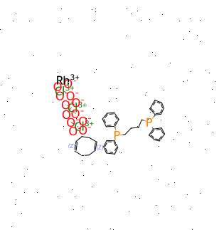 C1=C\CC/C=C\CC/1.[O-][Cl+3]([O-])([O-])[O-].[O-][Cl+3]([O-])([O-])[O-].[O-][Cl+3]([O-])([O-])[O-].[Rh+3].c1ccc(P(CCCCP(c2ccccc2)c2ccccc2)c2ccccc2)cc1